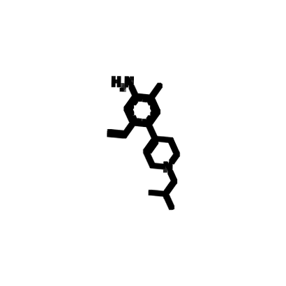 C=Cc1cc(N)c(C)cc1C1=CCN(C[C](C)C)CC1